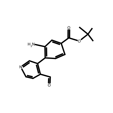 CC(C)(C)OC(=O)c1ccc(-c2cnccc2C=O)c(N)c1